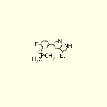 CCc1c[nH]c2ncc(-c3ccc(F)c(OP(C)C)c3)cc12